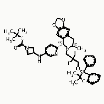 C[C@@H]1Cc2cc3c(cc2[C@@H](c2ccc(NC4CN(C(=O)OC(C)(C)C)C4)cn2)N1CC(F)(F)CO[Si](c1ccccc1)(c1ccccc1)C(C)(C)C)OCO3